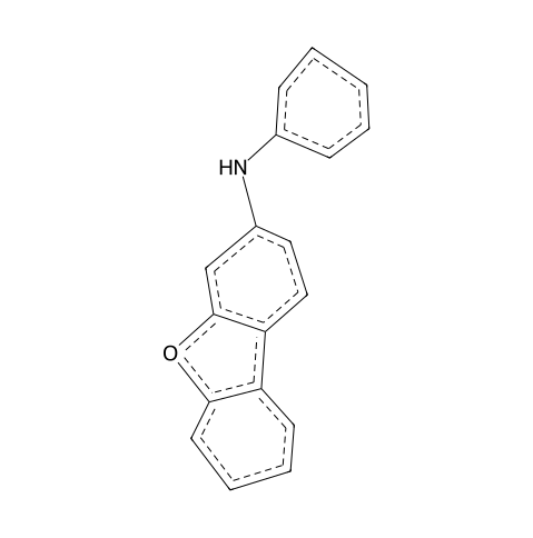 c1ccc(Nc2ccc3c(c2)oc2ccccc23)cc1